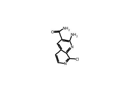 NC(=O)c1cc2ccnc(Cl)c2nc1N